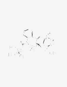 COC(=O)c1ccc(-c2ccccc2N(C(=O)OC(C)(C)C)C(C)C)cc1[N+](=O)[O-]